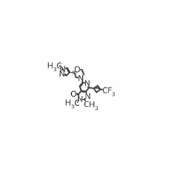 Cc1nc2c(C34CC(C(F)(F)F)(C3)C4)nc(N3CCO[C@H](c4cnn(C)c4)C3)cc2c(=O)n1C